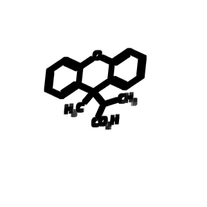 CC(C(=O)O)C1(C)c2ccccc2Oc2ccccc21